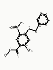 COC(=O)c1cc([N+](=O)[O-])c(OCc2ccccc2)cc1C